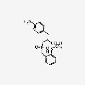 Nc1ccc(CC(CP(=O)(O)Cc2ccccc2SC(F)(F)F)C(=O)O)cn1